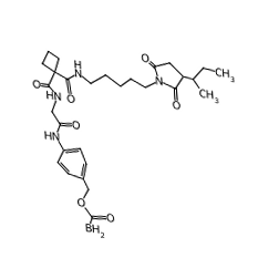 BC(=O)OCc1ccc(NC(=O)CNC(=O)C2(C(=O)NCCCCCN3C(=O)CC(C(C)CC)C3=O)CCC2)cc1